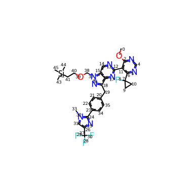 COc1ncnc(C2(F)CC2)c1-c1ncc2c(n1)c(Cc1ccc(-c3nc(C(F)(F)F)cn3C)cc1)nn2COCC[Si](C)(C)C